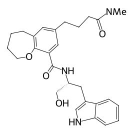 CNC(=O)CCCc1cc2c(c(C(=O)N[C@@H](CO)Cc3c[nH]c4ccccc34)c1)OCCCC2